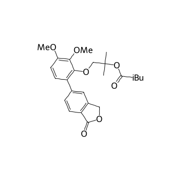 CCC(C)C(=O)OC(C)(C)COc1c(-c2ccc3c(c2)COC3=O)ccc(OC)c1OC